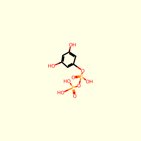 O=P(O)(O)OP(=O)(O)Oc1cc(O)cc(O)c1